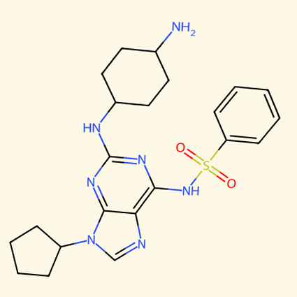 NC1CCC(Nc2nc(NS(=O)(=O)c3ccccc3)c3ncn(C4CCCC4)c3n2)CC1